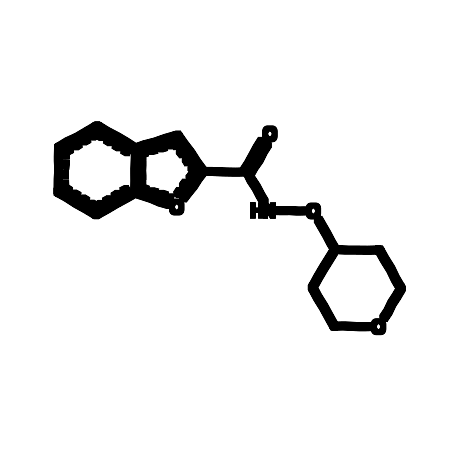 O=C(NOC1CCOCC1)c1cc2ccccc2o1